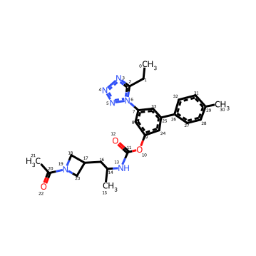 CCc1nnnn1-c1cc(OC(=O)NC(C)CC2CN(C(C)=O)C2)cc(-c2ccc(C)cc2)c1